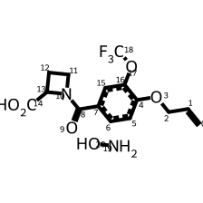 C=CCOc1ccc(C(=O)N2CCC2C(=O)O)cc1OC(F)(F)F.NO